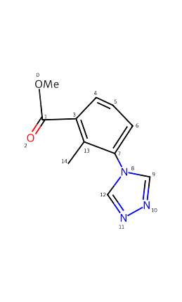 COC(=O)c1cccc(-n2cnnc2)c1C